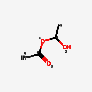 CC(O)OC(=O)C(C)C